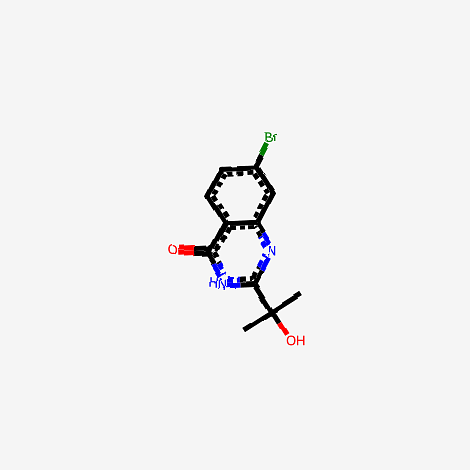 CC(C)(O)c1nc2cc(Br)ccc2c(=O)[nH]1